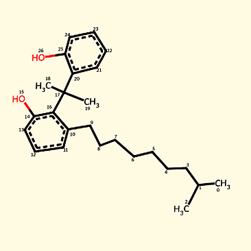 CC(C)CCCCCCCc1cccc(O)c1C(C)(C)c1ccccc1O